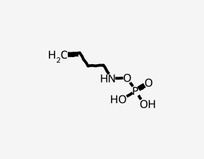 C=CCCNOP(=O)(O)O